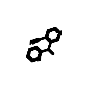 C[C](c1ccccn1)c1cnccc1C#N